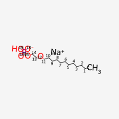 CCCCCCCCCCCCOCCOP(=O)([O-])O.[Na+]